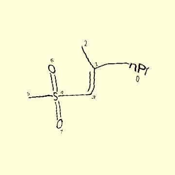 [CH2]CCC(C)=CS(C)(=O)=O